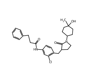 CC1(O)CCC(N2CCC(Cc3ccc(NC(=O)CCc4ccccc4)cc3Cl)C2=O)CC1